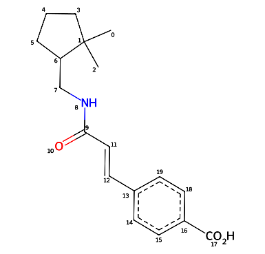 CC1(C)CCCC1CNC(=O)C=Cc1ccc(C(=O)O)cc1